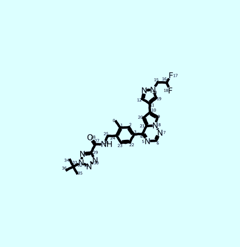 Cc1cc(-c2ncnn3cc(-c4cnn(CC(F)F)c4)cc23)ccc1CNC(=O)c1nnn(C(C)(C)C)n1